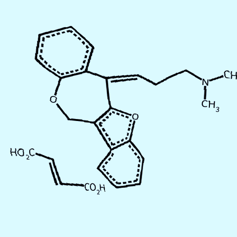 CN(C)CCC=C1c2ccccc2OCc2c1oc1ccccc21.O=C(O)C=CC(=O)O